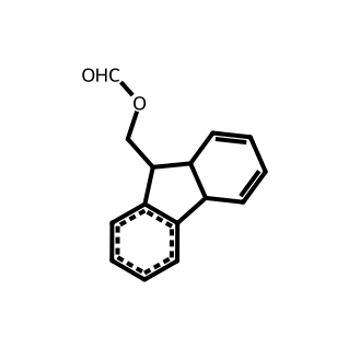 O=COCC1c2ccccc2C2C=CC=CC21